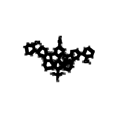 Cc1ccccc1-c1ccc2c(c1)c1ccccc1n2-c1cc(C#N)cc(-n2c3ccccc3c3cc(-c4ccccc4C)ccc32)c1-c1ccc(C(F)(F)F)cc1C(F)(F)F